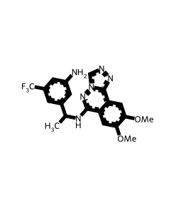 COc1cc2c(NC(C)c3cc(N)cc(C(F)(F)F)c3)nn3cnnc3c2cc1OC